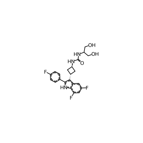 O=C(NC(CO)CO)N[C@H]1C[C@H](c2c(-c3ccc(F)cc3)[nH]c3c(F)cc(F)cc32)C1